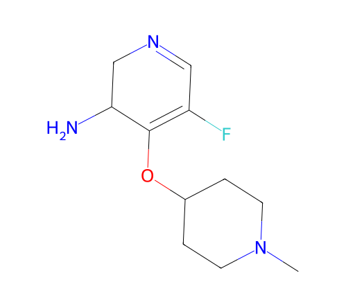 CN1CCC(OC2=C(F)C=NCC2N)CC1